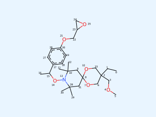 CCC1(COC)COC2(CC(C)(C)N(OC(C)c3ccc(OCC4CO4)cc3)C(C)(C)C2)OC1